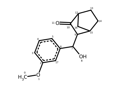 COc1cccc(C(O)C2C(=O)C3CCC2C3)c1